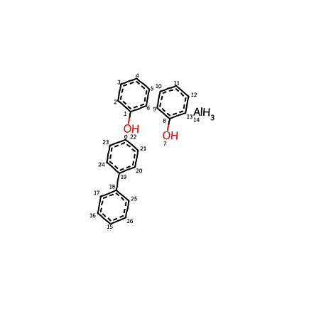 Oc1ccccc1.Oc1ccccc1.[AlH3].c1ccc(-c2ccccc2)cc1